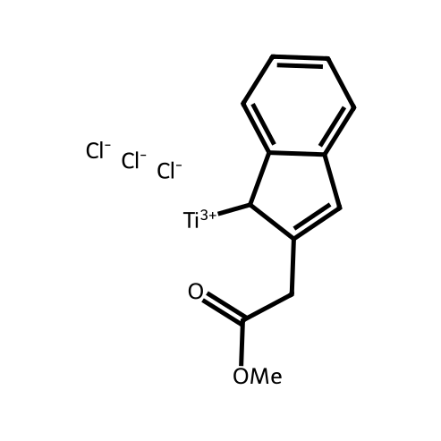 COC(=O)CC1=Cc2ccccc2[CH]1[Ti+3].[Cl-].[Cl-].[Cl-]